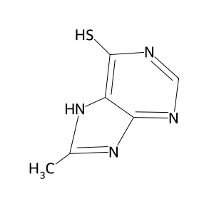 Cc1nc2ncnc(S)c2[nH]1